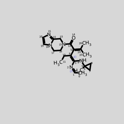 C/C=N\C(NC1(C)CC1)=C(/CC)C(C(=O)N1CCn2ccnc2C1)=C(C)C